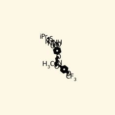 Cc1oc(-c2ccc(OC(F)(F)F)cc2)nc1COc1ccc(S(=O)(=O)Nc2nnc(C(C)C)s2)cc1